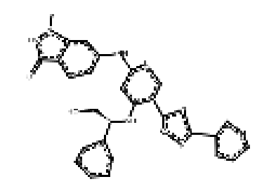 Cn1[nH]c(=O)c2ccc(Nc3cc(N[C@H](CO)c4ccccc4)c(-c4nc(-c5cccnc5)no4)cn3)cc21